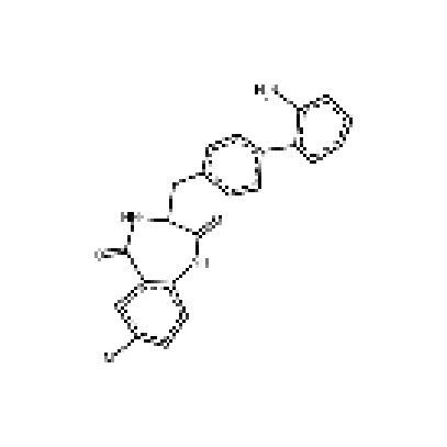 Nc1ccccc1-c1ccc(CC2NC(=O)c3cc(Cl)ccc3NC2=O)cc1